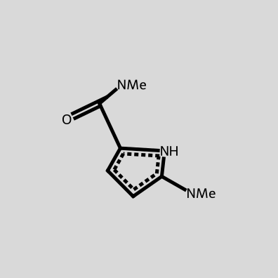 CNC(=O)c1ccc(NC)[nH]1